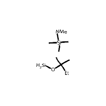 CCC(C)(C)O[SiH3].CN[Si](C)(C)C